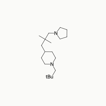 CC(C)(C)CN1CCC(CC(C)(C)CN2CCCC2)CC1